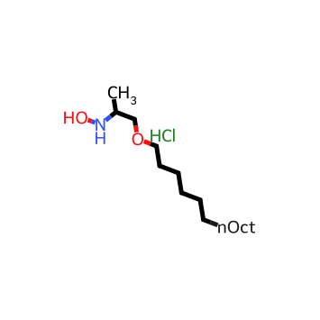 CCCCCCCCCCCCCCOCC(C)NO.Cl